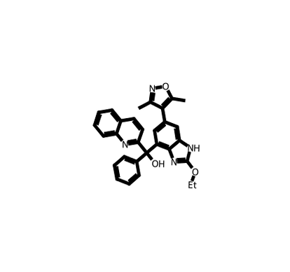 CCOc1nc2c(C(O)(c3ccccc3)c3ccc4ccccc4n3)cc(-c3c(C)noc3C)cc2[nH]1